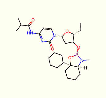 CC[C@H]1O[C@@H](n2ccc(NC(=O)C(C)C)nc2=O)CC1O[P@]1O[C@]2(C3CCCCC3)CCCC[C@@H]2N1C